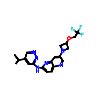 CC(C)c1cnnc(Nc2ccc3ncc(N4CC(OCC(F)(F)F)C4)cc3n2)c1